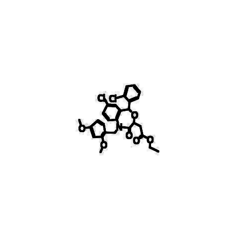 CCOC(=O)CC1OC(c2ccccc2Cl)c2cc(Cl)ccc2N(Cc2ccc(OC)cc2OC)C1=O